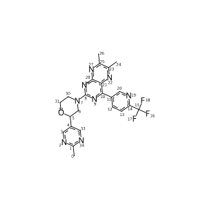 Cc1ncc(C2CN(c3nc(-c4ccc(C(F)(F)F)nc4)c4nc(C)c(C)nc4n3)CCO2)cn1